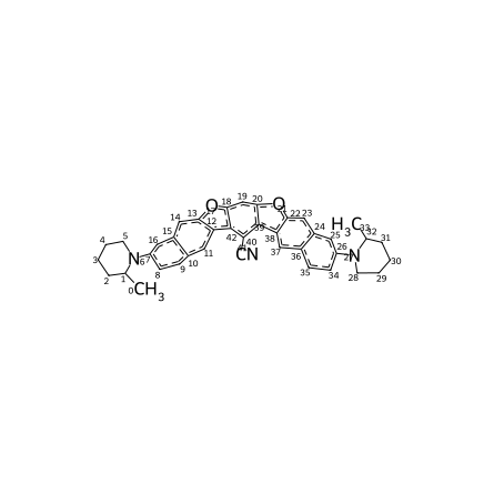 CC1CCCCN1c1ccc2cc3c(cc2c1)oc1cc2oc4cc5cc(N6CCCCC6C)ccc5cc4c2c(C#N)c13